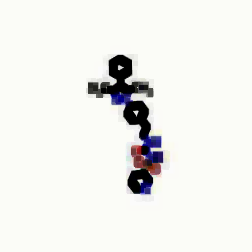 Cc1nn(-c2ccc(CCNC(=O)NS(=O)(=O)c3cccnc3)cc2)c(C)c1-c1ccccc1